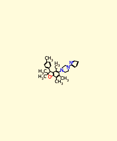 Cc1ccc(C2c3c(C)c(N4CCN(c5ccccn5)CC4)c(C)c(C)c3OC2(C)C)cc1